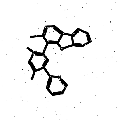 Cc1c[n+](C)c(-c2c(C)ccc3c2oc2ccccc23)cc1-c1ccccn1